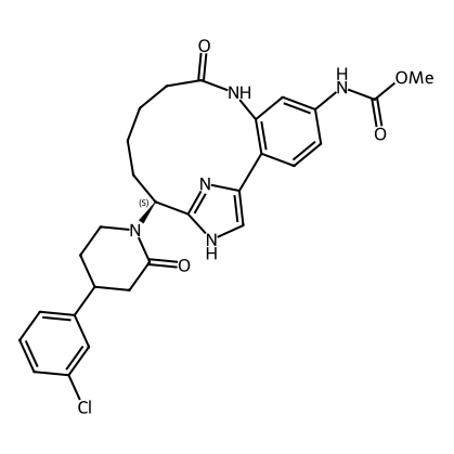 COC(=O)Nc1ccc2c(c1)NC(=O)CCCC[C@H](N1CCC(c3cccc(Cl)c3)CC1=O)c1nc-2c[nH]1